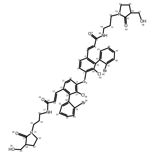 O=C(/C=C/c1ccc(Sc2ccc(/C=C/C(=O)NCCCN3CCC(CO)C3=O)c(-c3ccccc3Br)c2Cl)c(Cl)c1-c1ccccc1Br)NCCCN1CCC(CO)C1=O